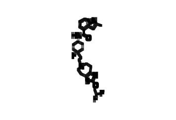 Cc1cc2c(C(=O)N[C@H]3CC[C@](F)(CCN4CCc5nc(OCC(F)F)sc5CC4)CC3)cccn2n1